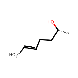 C[C@@H](O)CC/C=C/C(=O)O